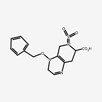 O=C(O)C1CC2=C(C[N+]1=S(=O)=O)N(OCc1ccccc1)CC=N2